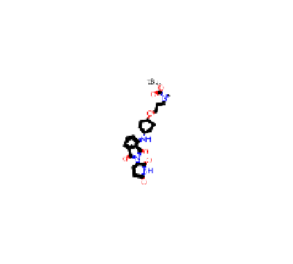 CN(CCCO[C@H]1CC[C@H](Nc2cccc3c2C(=O)N(C2CCC(=O)NC2=O)C3=O)CC1)C(=O)OC(C)(C)C